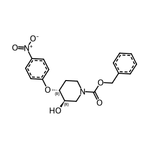 O=C(OCc1ccccc1)N1CC[C@@H](Oc2ccc([N+](=O)[O-])cc2)[C@H](O)C1